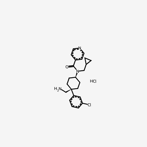 Cl.NC[C@]1(c2cccc(Cl)c2)CC[C@H](N(CC2CC2)C(=O)c2ccncc2)CC1